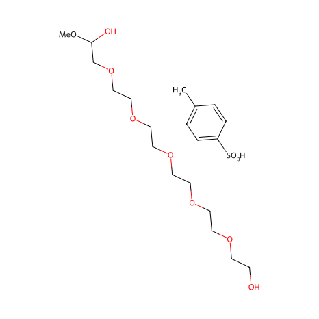 COC(O)COCCOCCOCCOCCOCCO.Cc1ccc(S(=O)(=O)O)cc1